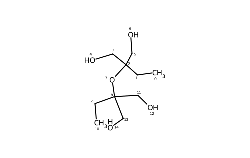 CCC(CO)(CO)OC(CC)(CO)CO